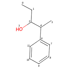 CCC(O)C(C)c1ccccc1